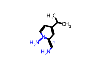 CC(C)C1=C/C(=C/N)N(N)C=C1